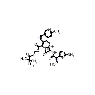 Cc1ccc(/C=C\C2=C(C(=O)OCOC(=O)C(C)(C)C)N3C(=O)[C@@H](NC(=O)/C(=N\O)c4csc(N)n4)[C@H]3SC2)cn1